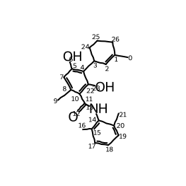 CC1=CC(c2c(O)cc(C)c(C(=O)Nc3c(C)cccc3C)c2O)CCC1